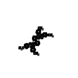 Cc1ccc(OP(=O)(Oc2ccc(C)cc2)Oc2ccccc2-c2ccccc2OP(=O)(Oc2ccc(C)cc2)Oc2ccc(C)cc2)cc1